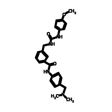 COc1ccc(NC(=O)NCc2cccc(C(=O)Nc3ccc(CN(C)C)cc3)c2)cc1